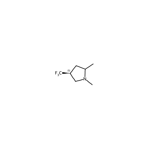 CC1C[C@H](C(F)(F)F)CN1C